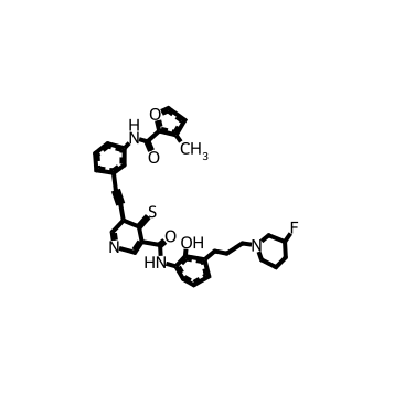 Cc1ccoc1C(=O)Nc1cccc(C#CC2C=NC=C(C(=O)Nc3cccc(CCCN4CCCC(F)C4)c3O)C2=S)c1